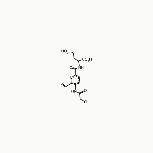 C=Cc1nc(C(=O)NC(CCC(=O)O)C(=O)O)ccc1NC(=O)CCl